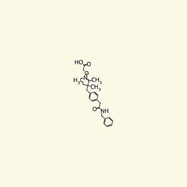 CCC(C)(Cc1ccc(CC(=O)NCc2ccccc2)cc1)/C(C)=N/OCC(=O)O